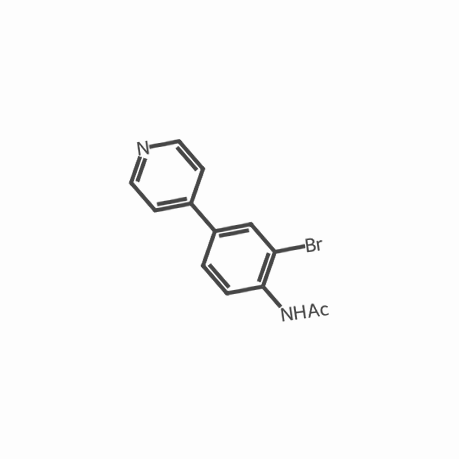 CC(=O)Nc1ccc(-c2ccncc2)cc1Br